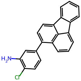 Nc1cc(-c2ccc3c4c(cccc24)-c2ccccc2-3)ccc1Cl